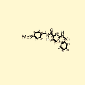 CSc1ccc(CNC(=O)c2ccnc(N[C@@H](C)c3ccccc3)n2)cc1